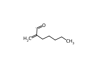 C=C([C]=O)CCCCC